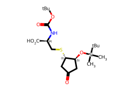 CC(C)(C)OC(=O)N[C@@H](CS[C@H]1CC(=O)C[C@@H]1O[Si](C)(C)C(C)(C)C)C(=O)O